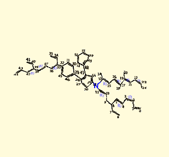 C=C/C=C\C=C\C(C=C)C/C=C/N(/C(C)=C/C=C(C)/C(C)=C/C=C\C)c1ccc(-c2ccc(/C(C=C)=C/C=C/C(C=C)=C/C=C)cc2)c(-c2ccccc2)c1